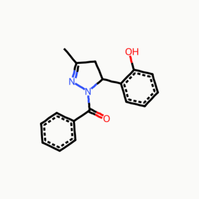 CC1=NN(C(=O)c2ccccc2)C(c2ccccc2O)C1